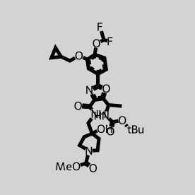 COC(=O)N1CCC(O)(CNC(=O)c2nc(-c3ccc(OC(F)F)c(OCC4CC4)c3)oc2C(C)NC(=O)OC(C)(C)C)CC1